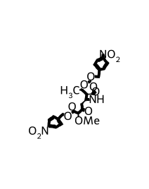 CO[C@H](C(=O)C[C@@H]1NC(=O)[C@@H]1[C@@H](C)OC(=O)OCc1ccc([N+](=O)[O-])cc1)C(=O)OCc1ccc([N+](=O)[O-])cc1